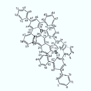 c1ccc(-c2cc(-c3ccccc3)c(B3c4cccc5c4-c4c3ccc3ccc6c(c43)-c3c(cccc3-5)B6c3c(-c4ccccc4)cc(-c4ccccc4)cc3-c3ccccc3)c(-c3ccccc3)c2)cc1